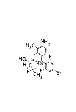 Cc1c(N)ccc2c1C[C@@H](CO)N(CC(C)(C)F)[C@@H]2c1c(F)cc(Br)cc1F